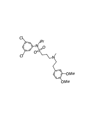 COc1ccc(CCN(C)CCCS(=O)(=O)N(c2cc(Cl)cc(Cl)c2)C(C)C)cc1OC